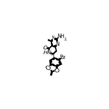 Cc1nc(N)nc2c1C(=O)N[C@@H](c1cc3c(cc1Br)OC(C)O3)C2